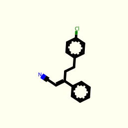 N#C/C=C(\CCc1ccc(Cl)cc1)c1ccccc1